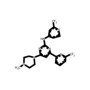 CN1CCN(c2cc(-c3cccc(C(F)(F)F)n3)nc(Nc3ccnc(C(F)(F)F)c3)n2)CC1